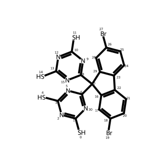 Sc1nc(S)nc(C2(c3nc(S)nc(S)n3)c3cc(Br)ccc3-c3ccc(Br)cc32)n1